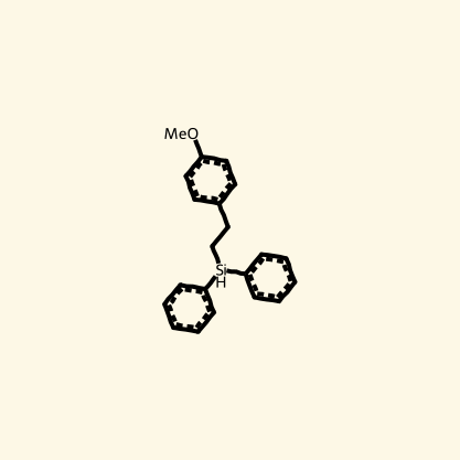 COc1ccc(CC[SiH](c2ccccc2)c2ccccc2)cc1